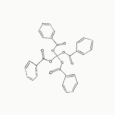 O=C(OC(OC(=O)c1ccccc1)(OC(=O)c1ccccc1)OC(=O)c1ccccc1)c1ccccc1